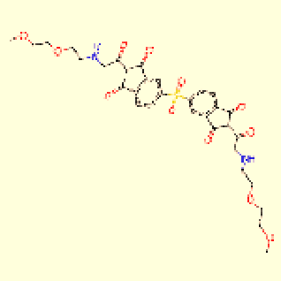 COCCOCCNCC(=O)C1C(=O)c2ccc(S(=O)(=O)c3ccc4c(c3)C(=O)C(C(=O)CNCCOCCOC)C4=O)cc2C1=O